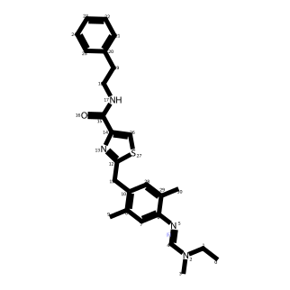 CCN(C)/C=N/c1cc(C)c(Cc2nc(C(=O)NCCc3ccccc3)cs2)cc1C